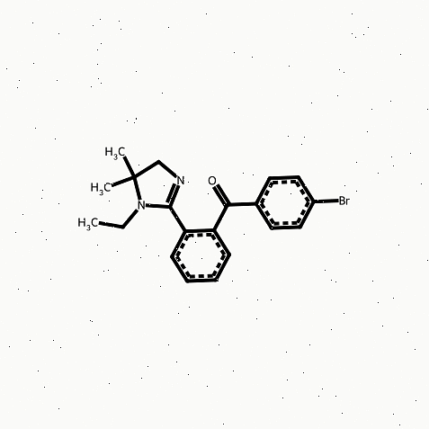 CCN1C(c2ccccc2C(=O)c2ccc(Br)cc2)=NCC1(C)C